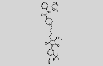 CC1=C(CCCCN2CCN(C(=O)Nc3ccccc3C(C)C)CC2)C(=O)N(c2ccc(C#N)c(C(F)(F)F)c2)C1=O